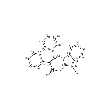 CN(Cc1cc2ccccc2n1C)C(=O)c1ccccc1-c1ccncc1